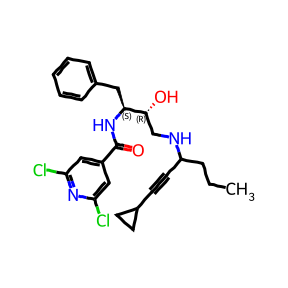 CCCC(C#CC1CC1)NC[C@@H](O)[C@H](Cc1ccccc1)NC(=O)c1cc(Cl)nc(Cl)c1